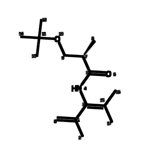 C=C(C)C(NC(=O)[C@@H](C)COC(C)(C)C)=C(C)C